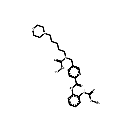 CCCNC(=O)N(CCCCCN1CCOCC1)Cc1ccc(C(=O)Nc2ccccc2NC(=O)OC(C)(C)C)nc1